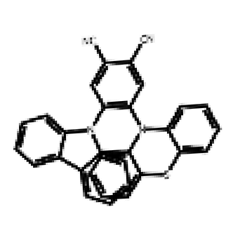 N#Cc1cc(N2c3ccccc3Sc3ccccc32)c(-n2c3ccccc3c3ccccc32)cc1C#N